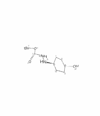 CC(C)(C)OC(=O)NN[C@H]1CC[C@H](O)CC1